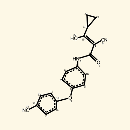 N#CC(C(=O)Nc1ccc(Oc2ccc(C#N)cc2)cc1)=C(O)C1CC1